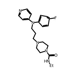 CCNC(=O)N1CCN(CCCN(c2ccncc2)c2ccc(F)cc2)CC1